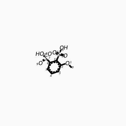 COc1[c]ccc(S(=O)(=O)O)c1S(=O)(=O)O